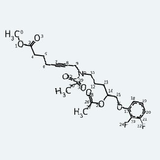 COC(=O)CCCC#CCN(CCCC(COc1cccc(F)c1F)OC(C)=O)S(C)(=O)=O